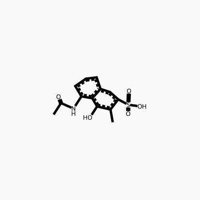 CC(=O)Nc1cccc2cc(S(=O)(=O)O)c(C)c(O)c12